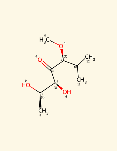 CO[C@H](C(=O)[C@@H](O)[C@@H](C)O)C(C)C